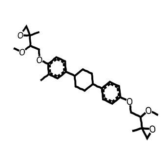 COC(COc1ccc(C2CCC(c3ccc(OCC(OC)C4(C)CO4)c(C)c3)CC2)cc1)C1(C)CO1